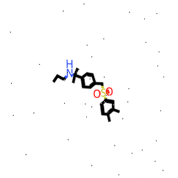 CCCNC(C)(C)c1ccc(CS(=O)(=O)c2ccc(C)c(C)c2)cc1